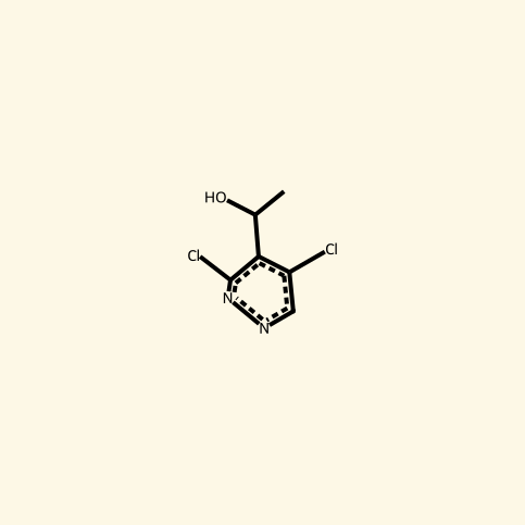 CC(O)c1c(Cl)cnnc1Cl